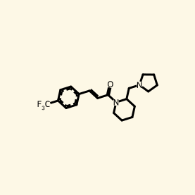 O=C(C=Cc1ccc(C(F)(F)F)cc1)N1CCCCC1CN1CCCC1